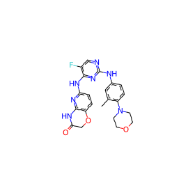 Cc1cc(Nc2ncc(F)c(Nc3ccc4c(n3)NC(=O)CO4)n2)ccc1N1CCOCC1